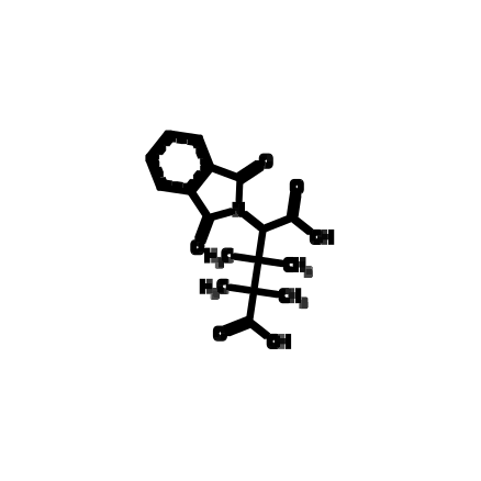 CC(C)(C(=O)O)C(C)(C)C(C(=O)O)N1C(=O)c2ccccc2C1=O